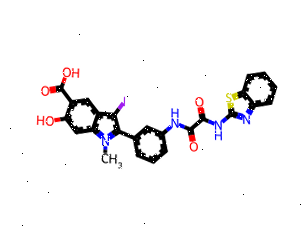 Cn1c(-c2cccc(NC(=O)C(=O)Nc3nc4ccccc4s3)c2)c(I)c2cc(C(=O)O)c(O)cc21